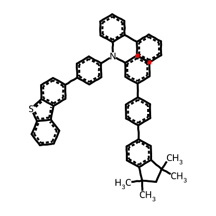 CC1(C)CC(C)(C)c2cc(-c3ccc(-c4cccc(N(c5ccc(-c6ccc7sc8ccccc8c7c6)cc5)c5ccccc5-c5ccccc5)c4)cc3)ccc21